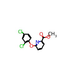 COC(=O)c1cccc(Oc2ccc(Cl)cc2Cl)n1